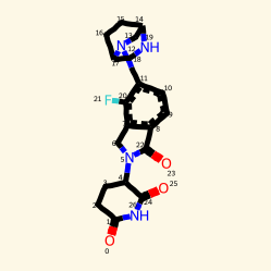 O=C1CCC(N2Cc3c(ccc(N4CC5CCC4CN5)c3F)C2=O)C(=O)N1